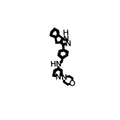 c1ccc2c(c1)Cc1c(-c3ccc(CNc4ccnc(N5CCOCC5)c4)cc3)n[nH]c1-2